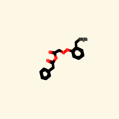 CCOC(=O)Cc1ccccc1OOCC(=O)OC(=O)Cc1ccccc1